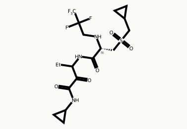 CCC(NC(=O)[C@@H](CS(=O)(=O)CC1CC1)NCC(F)(F)C(F)(F)F)C(=O)C(=O)NC1CC1